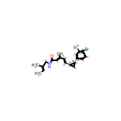 CC=C(C)CNC(=O)C=C(C)C=C[C@@H]1C[C@H]1c1ccc(Br)c(Br)c1